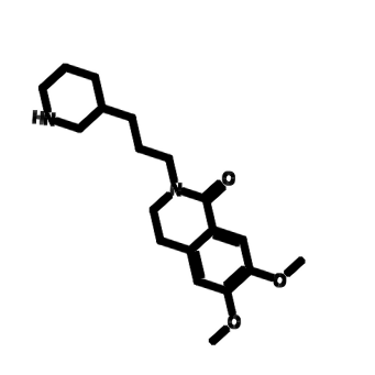 COc1cc2c(cc1OC)C(=O)N(CCCC1CCCNC1)CC2